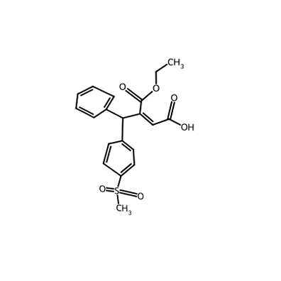 CCOC(=O)C(=CC(=O)O)C(c1ccccc1)c1ccc(S(C)(=O)=O)cc1